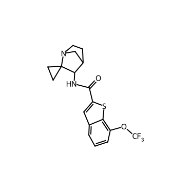 O=C(NC1C2CCN(C2)C12CC2)c1cc2cccc(OC(F)(F)F)c2s1